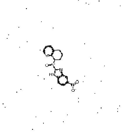 O=[N+]([O-])c1ccc2[nH]c([S+]([O-])C3CCCc4cccnc43)nc2c1